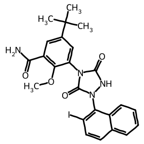 COc1c(C(N)=O)cc(C(C)(C)C)cc1-n1c(=O)[nH]n(-c2c(I)ccc3ccccc23)c1=O